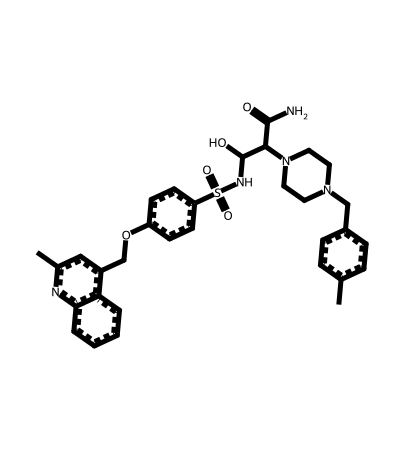 Cc1ccc(CN2CCN(C(C(N)=O)C(O)NS(=O)(=O)c3ccc(OCc4cc(C)nc5ccccc45)cc3)CC2)cc1